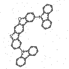 c1ccc2c(c1)c1ccccc1n2-c1ccc2oc3cc4sc5ccc(-n6c7ccccc7c7ccccc76)cc5c4cc3c2c1